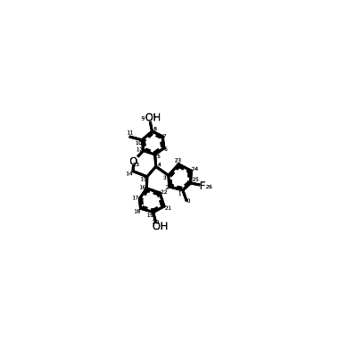 Cc1cc(C2c3ccc(O)c(C)c3OCC2c2ccc(O)cc2)ccc1F